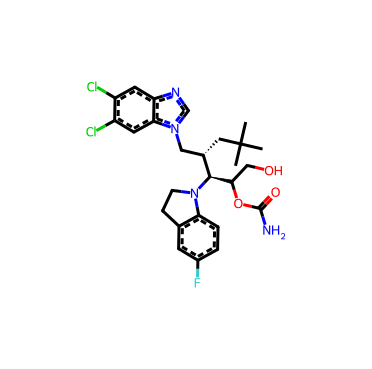 CC(C)(C)C[C@@H](Cn1cnc2cc(Cl)c(Cl)cc21)[C@@H](C(CO)OC(N)=O)N1CCc2cc(F)ccc21